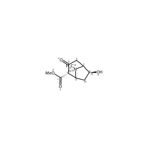 COC(=O)[C@@H]1C(=O)CC2[C@@H](O)CC1N2C